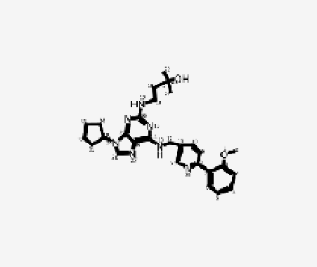 COc1ccccc1-c1ccc(CNc2nc(NCCC(C)(C)O)nc3c2ncn3C2CCCC2)cn1